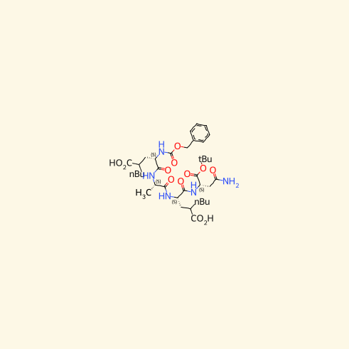 CCCCC(C[C@H](NC(=O)OCc1ccccc1)C(=O)N[C@@H](C)C(=O)N[C@@H](CC(CCCC)C(=O)O)C(=O)N[C@@H](CC(N)=O)C(=O)OC(C)(C)C)C(=O)O